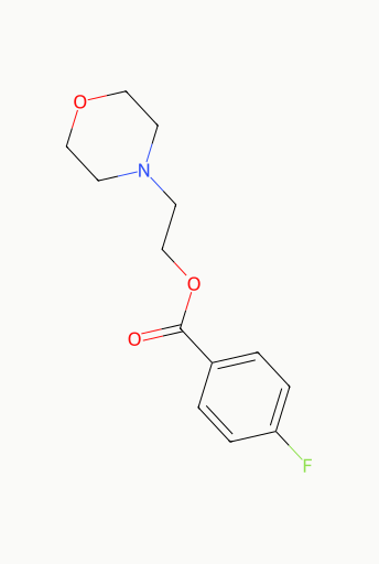 O=C(OCCN1CCOCC1)c1ccc(F)cc1